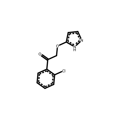 O=C(COc1ccn[nH]1)c1ccccc1Cl